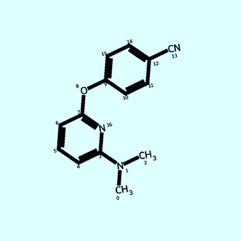 CN(C)c1cccc(Oc2ccc(C#N)cc2)n1